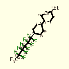 CC[C@H]1CC[C@H]([C@H]2CC[C@H](C(F)(F)C(F)(F)C(F)(F)C(F)(F)C(F)(F)C(F)(F)F)CC2)CC1